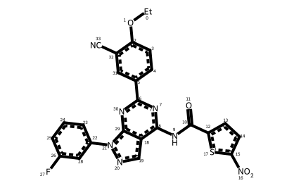 CCOc1ccc(-c2nc(NC(=O)c3ccc([N+](=O)[O-])s3)c3cnn(-c4cccc(F)c4)c3n2)cc1C#N